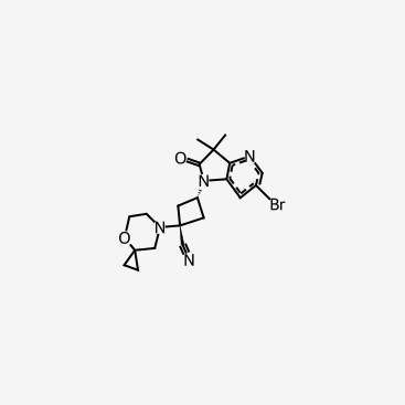 CC1(C)C(=O)N([C@H]2C[C@@](C#N)(N3CCOC4(CC4)C3)C2)c2cc(Br)cnc21